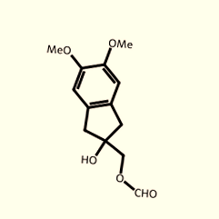 COc1cc2c(cc1OC)CC(O)(COC=O)C2